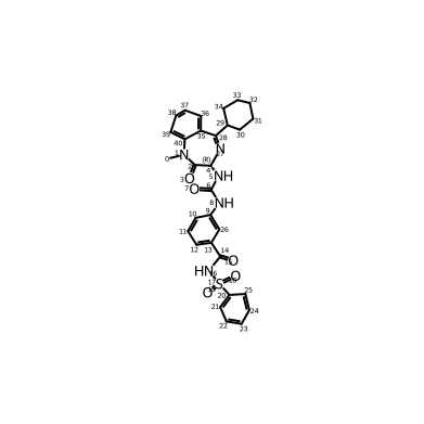 CN1C(=O)[C@H](NC(=O)Nc2cccc(C(=O)NS(=O)(=O)c3ccccc3)c2)N=C(C2CCCCC2)c2ccccc21